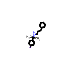 CC(C)(NCCCc1ccccc1)c1ccc(I)cc1